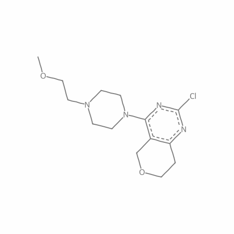 COCCN1CCN(c2nc(Cl)nc3c2COCC3)CC1